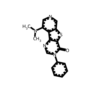 CN(C)c1cncc2sc3c(=O)n(-c4ccccc4)cnc3c12